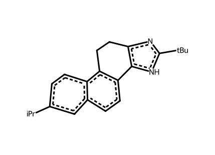 CC(C)c1ccc2c3c(ccc2c1)-c1[nH]c(C(C)(C)C)nc1CC3